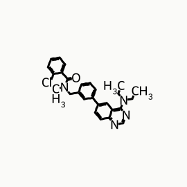 CCN(CC)c1ncnc2ccc(-c3cccc(CN(C)C(=O)c4ccccc4Cl)c3)cc12